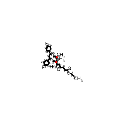 CCCCOC(=O)CCC(=O)C[C@H](O)C(F)=CN1C(c2ccc(F)cc2)=CC(c2ccc(F)cc2)=NC1C(C)C